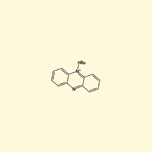 CCCC[n+]1c2ccccc2nc2ccccc21